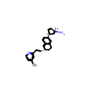 CCCc1ccnc(CC[C@H]2CCc3cc([C@H]4CC[C@](N)(CC)C4)ccc3C2)c1